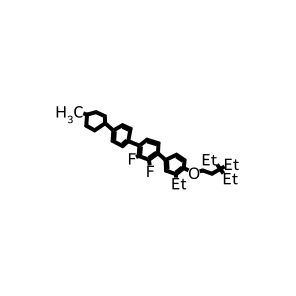 CCc1cc(-c2ccc(-c3ccc(C4CCC(C)CC4)cc3)c(F)c2F)ccc1OCCC(CC)(CC)CC